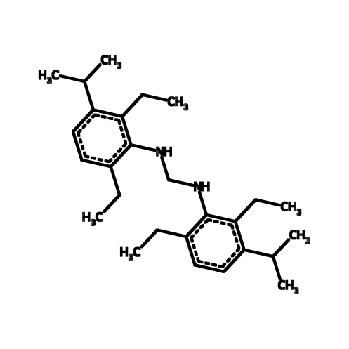 CCc1ccc(C(C)C)c(CC)c1NCNc1c(CC)ccc(C(C)C)c1CC